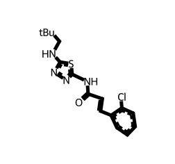 CC(C)(C)CNc1nnc(NC(=O)C=Cc2ccccc2Cl)s1